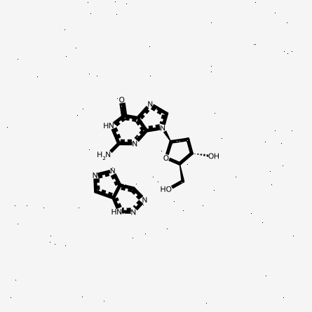 Nc1nc2c(ncn2[C@H]2C[C@H](O)[C@@H](CO)O2)c(=O)[nH]1.c1nn[nH]c2cnnc1-2